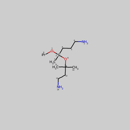 CC(C)O[Si](C)(CCCN)OC(C)(C)CCN